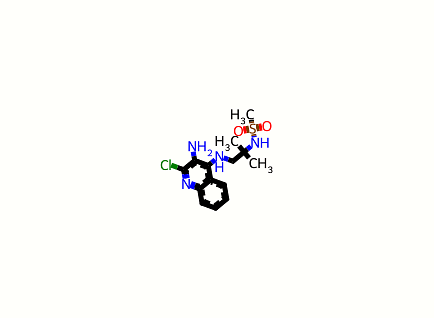 CC(C)(CNc1c(N)c(Cl)nc2ccccc12)NS(C)(=O)=O